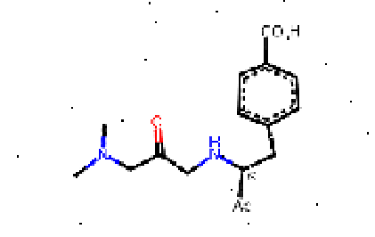 CC(=O)[C@H](Cc1ccc(C(=O)O)cc1)NCC(=O)CN(C)C